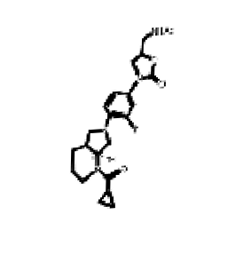 CC(=O)NCC1CN(c2ccc(N3CC4CCCN(C(=O)C5CC5)[C@@H]4C3)c(F)c2)C(=O)O1